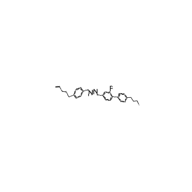 C=CCCCc1ccc(C=NN=Cc2ccc(-c3ccc(CCCC)cc3)c(F)c2)cc1